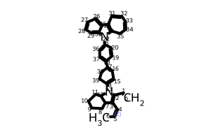 C=CC1=C(/C=C\C)C2CCCCC2N1C1=CC=C(c2ccc(-n3c4c(c5ccccc53)C=CC=CC4)cc2)CC1